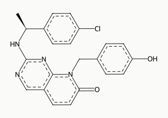 C[C@H](Nc1ncc2ccc(=O)n(Cc3ccc(O)cc3)c2n1)c1ccc(Cl)cc1